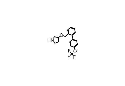 FC(F)(F)Oc1ccc(-c2ccccc2COC2CCNC2)cc1